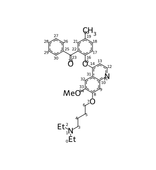 CCN(CC)CCCCOc1cc2nccc(Oc3ccc(C)cc3C(=O)c3ccccc3)c2cc1OC